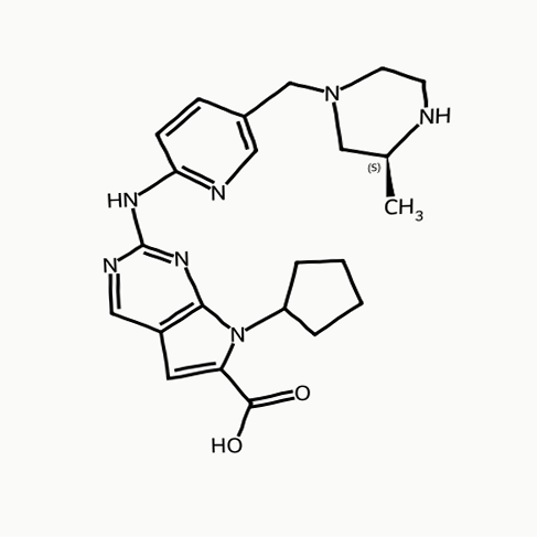 C[C@H]1CN(Cc2ccc(Nc3ncc4cc(C(=O)O)n(C5CCCC5)c4n3)nc2)CCN1